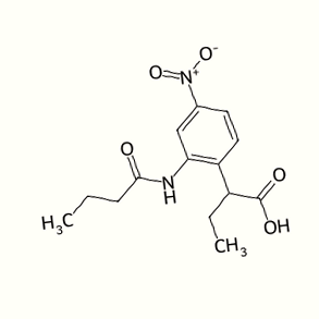 CCCC(=O)Nc1cc([N+](=O)[O-])ccc1C(CC)C(=O)O